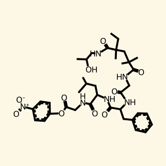 CCC(C)(CC(C)(C)C(=O)NCC(=O)NC(Cc1ccccc1)C(=O)NC(CC(C)C)C(=O)NCC(=O)Oc1ccc([N+](=O)[O-])cc1)C(=O)NCC(C)O